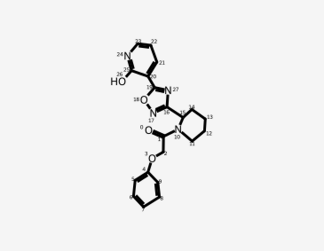 O=C(COc1ccccc1)N1CCCCC1c1noc(-c2cccnc2O)n1